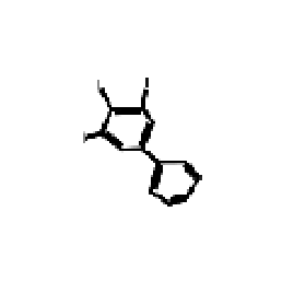 Ic1cc(-c2ccccc2)cc(I)c1I